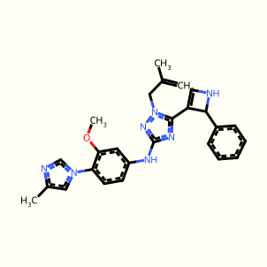 C=C(C)Cn1nc(Nc2ccc(-n3cnc(C)c3)c(OC)c2)nc1C1=CNC1c1ccccc1